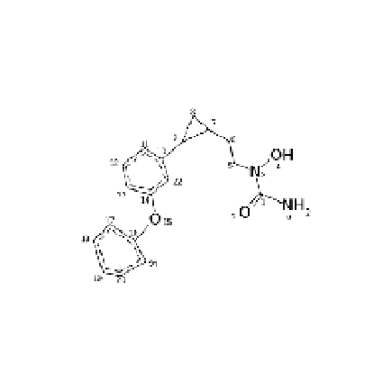 NC(=O)N(O)CCC1CC1c1cccc(Oc2ccccc2)c1